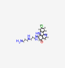 NCCCNCCCNC1=CC(=O)c2ccnc3c2C1Nc1cc(Cl)ccc1-3